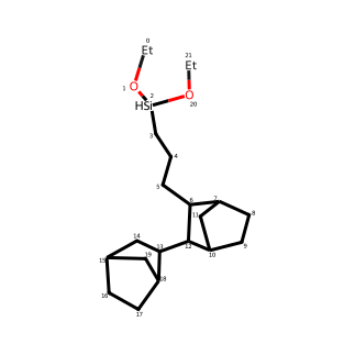 CCO[SiH](CCCC1C2CCC(C2)C1C1CC2CCC1C2)OCC